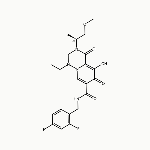 CCN1CN([C@@H](C)COC)C(=O)c2c(O)c(=O)c(C(=O)NCc3ccc(F)cc3F)cn21